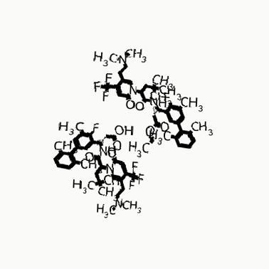 CCOC(=O)C[C@H](NC(=O)C(CC(C)(C)C)n1cc(CCN(C)C)c(C(F)(F)F)cc1=O)c1cc(-c2c(C)cccc2C)cc(C)c1F.Cc1cc(-c2c(C)cccc2C)cc([C@H](CC(=O)O)NC(=O)C(CC(C)(C)C)n2cc(CCN(C)C)c(C(F)(F)F)cc2=O)c1F